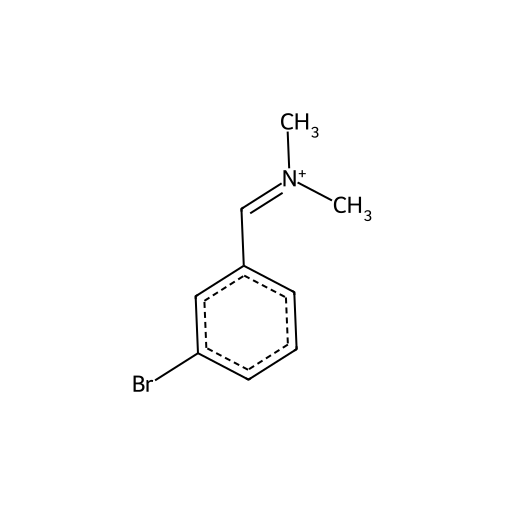 C[N+](C)=Cc1cccc(Br)c1